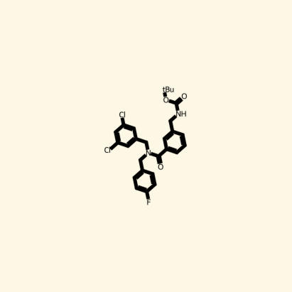 CC(C)(C)OC(=O)NCc1cccc(C(=O)N(Cc2ccc(F)cc2)Cc2cc(Cl)cc(Cl)c2)c1